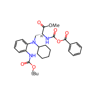 COC(=O)[C@@H](CN(c1ccccc1NC(=O)OC(C)(C)C)C1CCCCC1)NC(=O)OC(=O)c1ccccc1